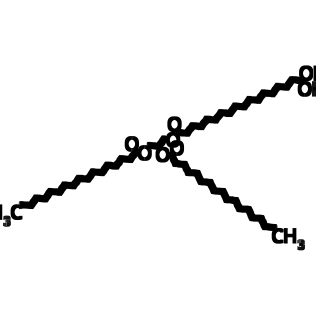 CCCCCCCCCCCCCCCCCC(=O)OCC(COC(=O)CCCCCCCCCCCCCCCCC(O)O)OC(=O)CCCCCCCCCCCCCCCCC